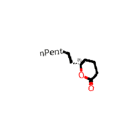 CCCCCCC[C@@H]1CCCC(=O)O1